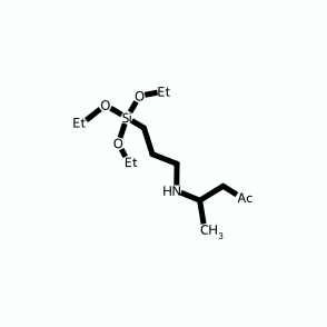 CCO[Si](CCCNC(C)CC(C)=O)(OCC)OCC